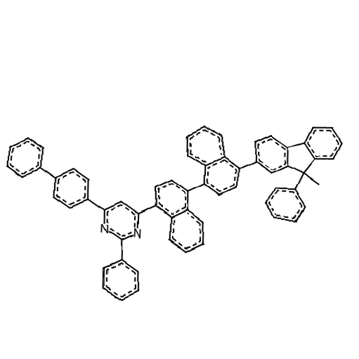 CC1(c2ccccc2)c2ccccc2-c2ccc(-c3ccc(-c4ccc(-c5cc(-c6ccc(-c7ccccc7)cc6)nc(-c6ccccc6)n5)c5ccccc45)c4ccccc34)cc21